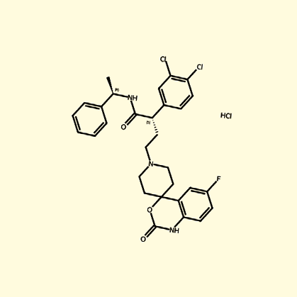 C[C@@H](NC(=O)[C@@H](CCN1CCC2(CC1)OC(=O)Nc1ccc(F)cc12)c1ccc(Cl)c(Cl)c1)c1ccccc1.Cl